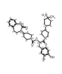 CC1(N)CCN(C2CCN(C(=O)[C@@H](Cc3ccc(O)c(Br)c3)OC(=O)N3CCC(N4CCc5ccccc5NC4=O)CC3)CC2)CC1